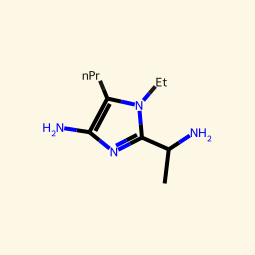 CCCc1c(N)nc(C(C)N)n1CC